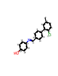 Cc1ccc(Cl)c(-c2ccc(/C=N/c3ccc(O)cc3)cc2)c1